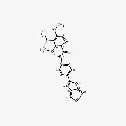 COc1ccc(C(=O)Nc2ccc(-c3nc4ncccc4o3)cc2)c(OC)c1OC